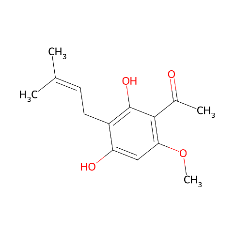 COc1cc(O)c(CC=C(C)C)c(O)c1C(C)=O